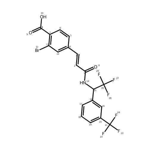 O=C(C=Cc1ccc(C(=O)O)c(Br)c1)NC(c1cccc(C(F)(F)F)c1)C(F)(F)F